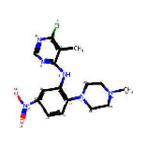 Cc1c(Cl)ncnc1Nc1cc([N+](=O)[O-])ccc1N1CCN(C)CC1